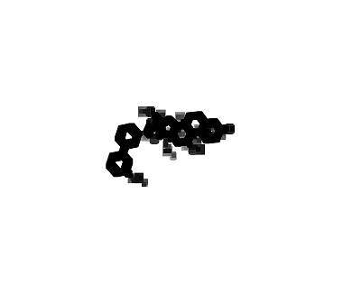 C[C@]12C=CC(=O)C=C1CC[C@@H]1[C@@H]2[C@@H](O)C[C@@]2(C)[C@H]1C[C@H]1O[C@@H](c3cccc(-c4cccc(N)c4)c3)O[C@]12C(=O)CO